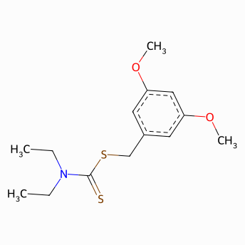 CCN(CC)C(=S)SCc1cc(OC)cc(OC)c1